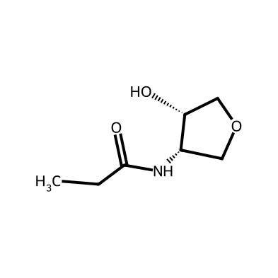 CCC(=O)N[C@H]1COC[C@H]1O